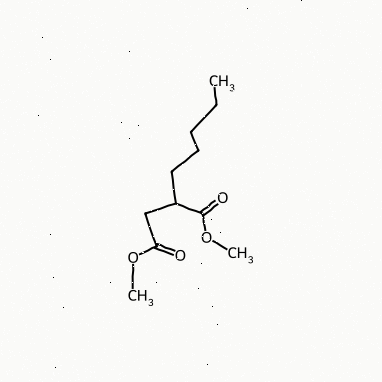 CCCCCC(CC(=O)OC)C(=O)OC